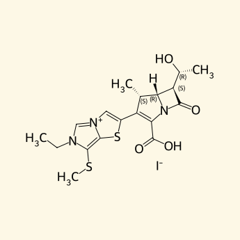 CCn1c[n+]2cc(C3=C(C(=O)O)N4C(=O)[C@H]([C@@H](C)O)[C@H]4[C@H]3C)sc2c1SC.[I-]